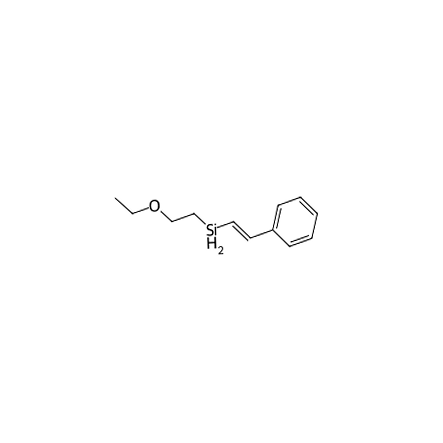 CCOCC[SiH2]C=Cc1ccccc1